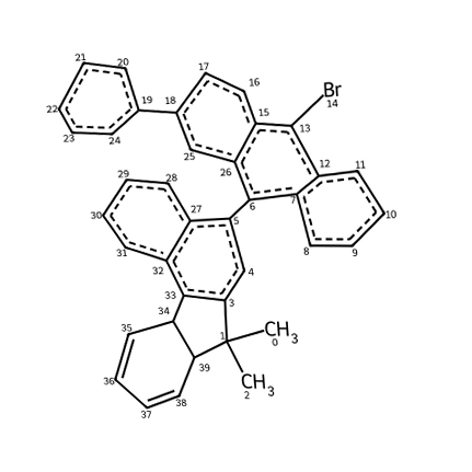 CC1(C)c2cc(-c3c4ccccc4c(Br)c4ccc(-c5ccccc5)cc34)c3ccccc3c2C2C=CC=CC21